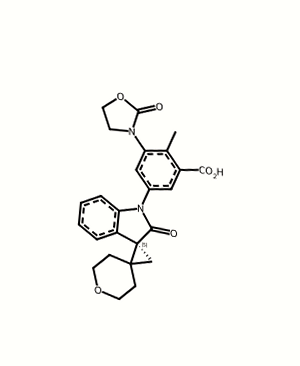 Cc1c(C(=O)O)cc(N2C(=O)[C@]3(CC34CCOCC4)c3ccccc32)cc1N1CCOC1=O